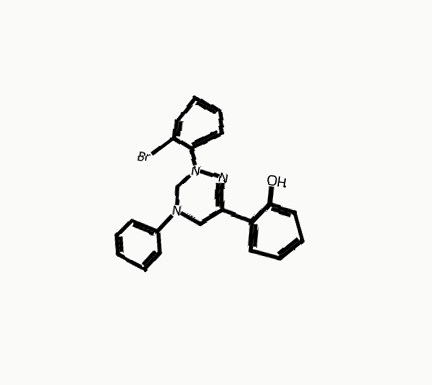 Oc1ccccc1C1=NN(c2ccccc2Br)CN(c2ccccc2)C1